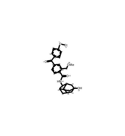 CCOc1ccc(C(=O)c2ccc(C(=O)NC3C4CC5CC3CC(O)(C5)C4)c(COC)c2)cc1